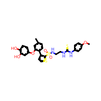 COc1ccc(NC(=S)NCCNS(=O)(=O)c2sccc2-c2ccc(C)cc2Oc2ccc(O)c(O)c2)cc1